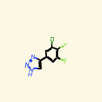 Fc1cc(-c2c[nH]nn2)cc(Cl)c1F